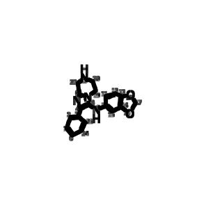 c1ccc(-c2nc3n(c2Nc2ccc4c(c2)OCO4)CCNC3)cc1